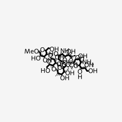 CO[C@@H]1OC(CO)[C@@H](O[C@@H]2OC(CO)[C@H](O[C@@H]3OC(CO)[C@H](O)C(O)[C@@H]3C)C(O[C@]3(C(=O)O)C[C@@H](O)[C@@H](N)C([C@H](O)[C@@H](CO)O[C@]4(C(=O)O)C[C@@H](O)[C@@H](N)C([C@H](O)[C@H](O)CO)O4)O3)[C@@H]2O)C(O)[C@@H]1O